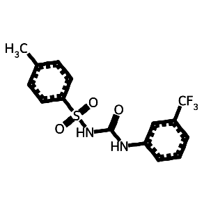 Cc1ccc(S(=O)(=O)NC(=O)Nc2cccc(C(F)(F)F)c2)cc1